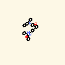 c1ccc(-c2nc(-c3ccc(-c4cccc5oc6cc(-n7c8ccccc8c8cc9ccccc9cc87)ccc6c45)cc3)nc3c2oc2ccccc23)cc1